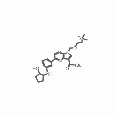 CC(C)(C)C(=O)c1cn(COCC[Si](C)(C)C)c2ncc(-c3cccc(NC4CCCC4O)c3)nc12